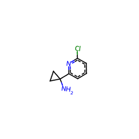 NC1(c2cccc(Cl)n2)CC1